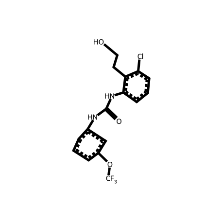 O=C(Nc1cccc(OC(F)(F)F)c1)Nc1cccc(Cl)c1CCO